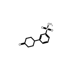 CS(=O)(=O)c1cccc(C2CCC(=O)CC2)c1